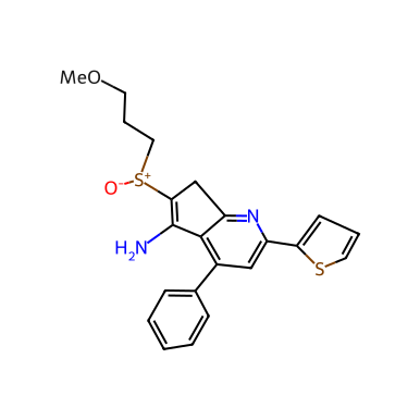 COCCC[S+]([O-])C1=C(N)c2c(-c3ccccc3)cc(-c3cccs3)nc2C1